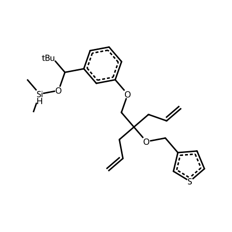 C=CCC(CC=C)(COc1cccc(C(O[SiH](C)C)C(C)(C)C)c1)OCc1ccsc1